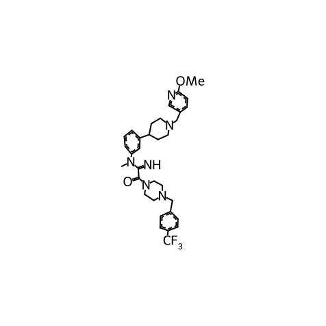 COc1ccc(CN2CCC(c3cccc(N(C)C(=N)C(=O)N4CCN(Cc5ccc(C(F)(F)F)cc5)CC4)c3)CC2)cn1